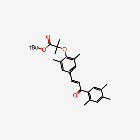 Cc1cc(C)c(C(=O)C=Cc2cc(C)c(OC(C)(C)C(=O)OC(C)(C)C)c(C)c2)cc1C